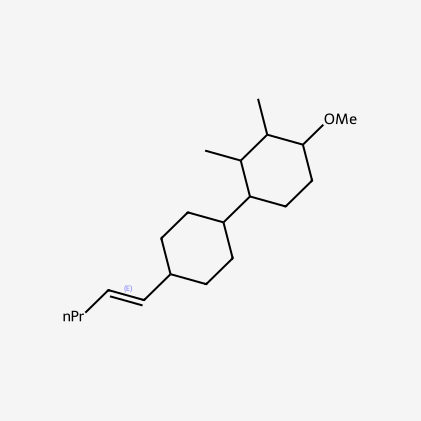 CCC/C=C/C1CCC(C2CCC(OC)C(C)C2C)CC1